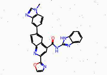 Cn1cnc2cc(-c3ccc4nc(-c5ncco5)cc(C(=O)Nc5nc6ccccc6[nH]5)c4c3)ccc21